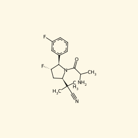 CC(N)C(=O)N1[C@H](c2cccc(F)c2)[C@@H](F)C[C@@H]1C(C)(C)C#N